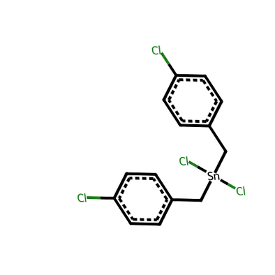 Clc1ccc([CH2][Sn]([Cl])([Cl])[CH2]c2ccc(Cl)cc2)cc1